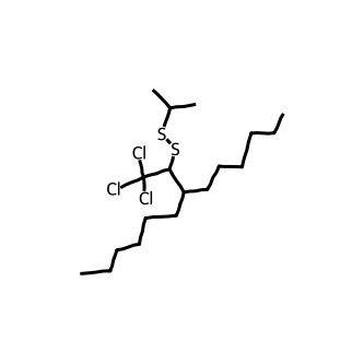 CCCCCCC(CCCCCC)C(SSC(C)C)C(Cl)(Cl)Cl